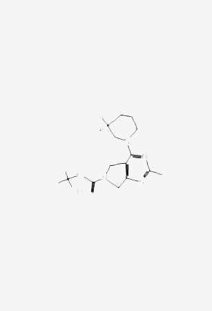 CC(C)(C)OC(=O)N1Cc2nc(Cl)nc(N3CCC[C@@](C)(O)C3)c2C1